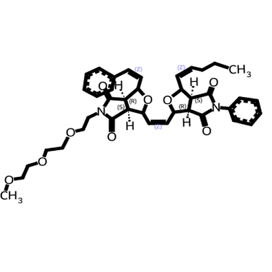 CCC/C=C\C1OC(/C=C\C2OC(/C=C\c3ccccc3)[C@@H]3C(=O)N(CCOCCOCCOC)C(=O)[C@H]23)[C@@H]2C(=O)N(c3ccccc3)C(=O)[C@H]12